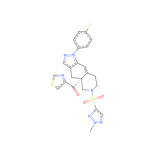 Cn1ncc(S(=O)(=O)N2CCC3=Cc4c(cnn4-c4ccc(F)cc4)C[C@]3(C(=O)c3cscn3)C2)n1